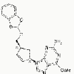 COc1nc(N)nc2c1ncn2[C@H]1C=C[C@@H](COC2Oc3ccccc3O2)C1